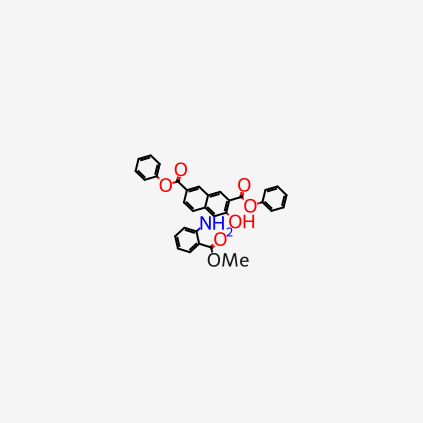 COC(=O)c1ccccc1N.O=C(Oc1ccccc1)c1ccc2cc(O)c(C(=O)Oc3ccccc3)cc2c1